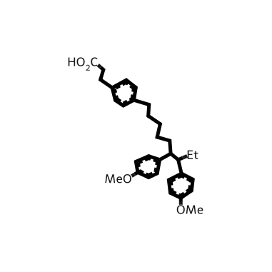 CCC(c1ccc(OC)cc1)C(CCCCCc1ccc(CCC(=O)O)cc1)c1ccc(OC)cc1